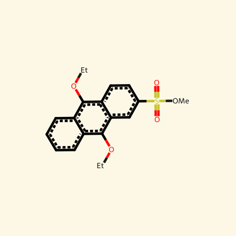 CCOc1c2ccccc2c(OCC)c2cc(S(=O)(=O)OC)ccc12